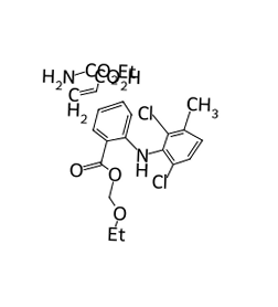 C=CC(=O)O.CCOC(N)=O.CCOCOC(=O)c1ccccc1Nc1c(Cl)ccc(C)c1Cl